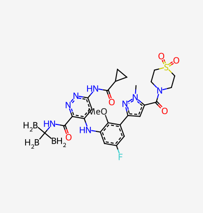 BC(B)(B)NC(=O)c1nnc(NC(=O)C2CC2)cc1Nc1cc(F)cc(-c2cc(C(=O)N3CCS(=O)(=O)CC3)n(C)n2)c1OC